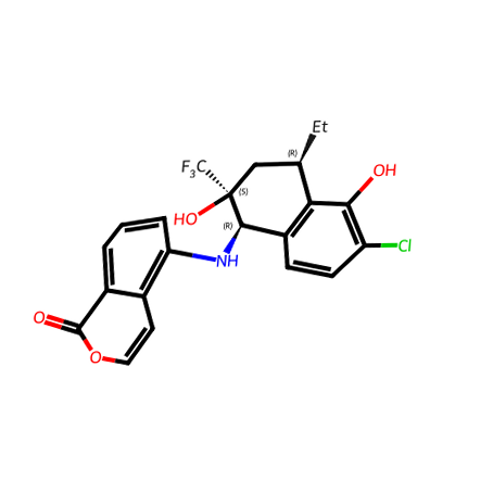 CC[C@@H]1C[C@@](O)(C(F)(F)F)[C@H](Nc2cccc3c(=O)occc23)c2ccc(Cl)c(O)c21